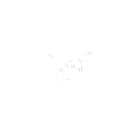 CC(C)(C)OC(=O)N1C[C@H]2C[C@@H]1[C@@H]1COc3cc(Br)c(F)c4nc(OCC5(CN6CCOCC6)CC5)nc(c34)N21